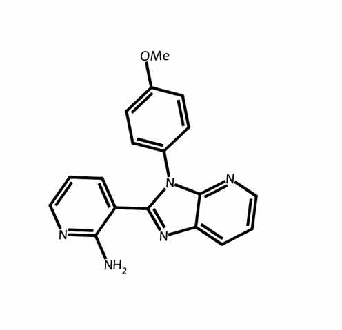 COc1ccc(-n2c(-c3cccnc3N)nc3cccnc32)cc1